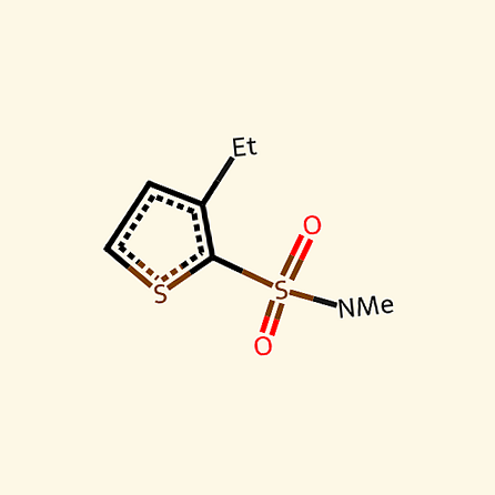 CCc1ccsc1S(=O)(=O)NC